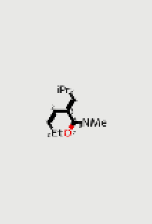 CC/C=C\C(=C/C(C)C)C(=O)NC